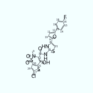 CN1C(C(=O)NC2NC(c3ccc(-c4ccc(F)cc4)o3)=CS2)=C(O)c2sc(Cl)cc2S1(=O)=O